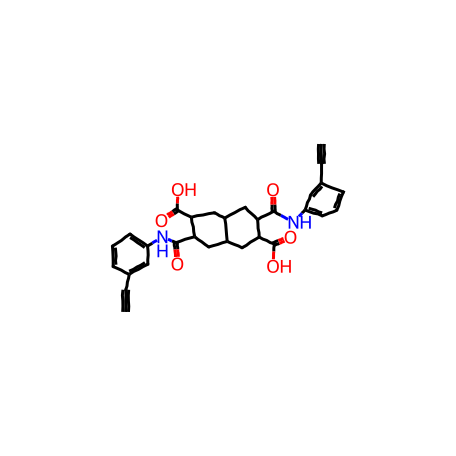 C#Cc1cccc(NC(=O)C2CC3CC(C(=O)O)C(C(=O)Nc4cccc(C#C)c4)CC3CC2C(=O)O)c1